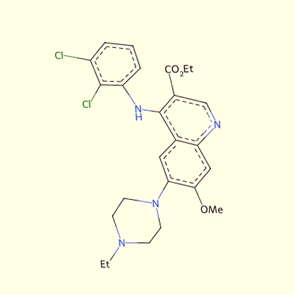 CCOC(=O)c1cnc2cc(OC)c(N3CCN(CC)CC3)cc2c1Nc1cccc(Cl)c1Cl